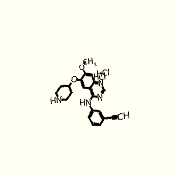 C#Cc1cccc(Nc2ncnc3cc(OC)c(OC4CCNCC4)cc23)c1.Cl.Cl